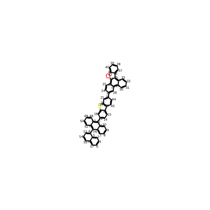 c1ccc2c(-c3c4ccccc4c(-c4ccc5c(c4)sc4cc(-c6ccc7c(c6)c6ccccc6c6c8ccccc8oc76)ccc45)c4ccccc34)cccc2c1